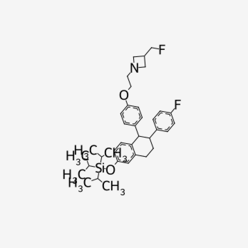 CC(C)[Si](Oc1ccc2c(c1)CCC(c1ccc(F)cc1)C2c1ccc(OCCN2CC(CF)C2)cc1)(C(C)C)C(C)C